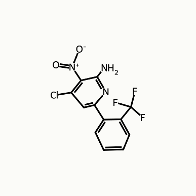 Nc1nc(-c2ccccc2C(F)(F)F)cc(Cl)c1[N+](=O)[O-]